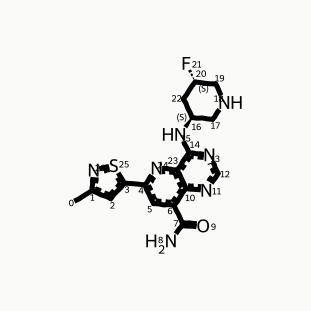 Cc1cc(-c2cc(C(N)=O)c3ncnc(N[C@@H]4CNC[C@@H](F)C4)c3n2)sn1